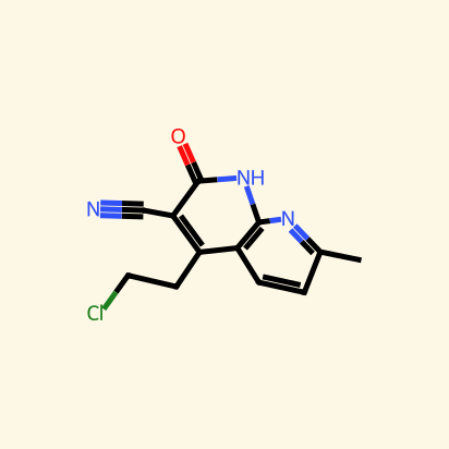 Cc1ccc2c(CCCl)c(C#N)c(=O)[nH]c2n1